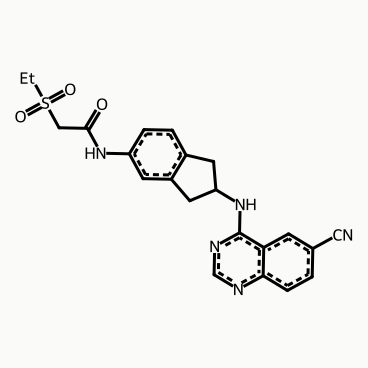 CCS(=O)(=O)CC(=O)Nc1ccc2c(c1)CC(Nc1ncnc3ccc(C#N)cc13)C2